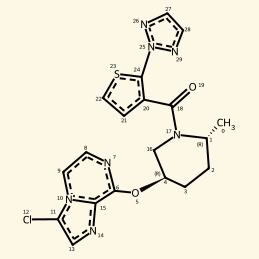 C[C@@H]1CC[C@@H](Oc2nccn3c(Cl)cnc23)CN1C(=O)c1ccsc1-n1nccn1